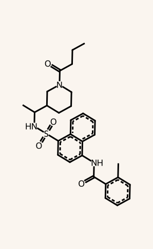 CCCC(=O)N1CCCC(C(C)NS(=O)(=O)c2ccc(NC(=O)c3ccccc3C)c3ccccc23)C1